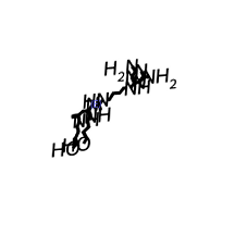 C=C(CC(/N=C(\C)NCCCCNc1nc(N)nc(N)n1)NCCCCO)NCCCCO